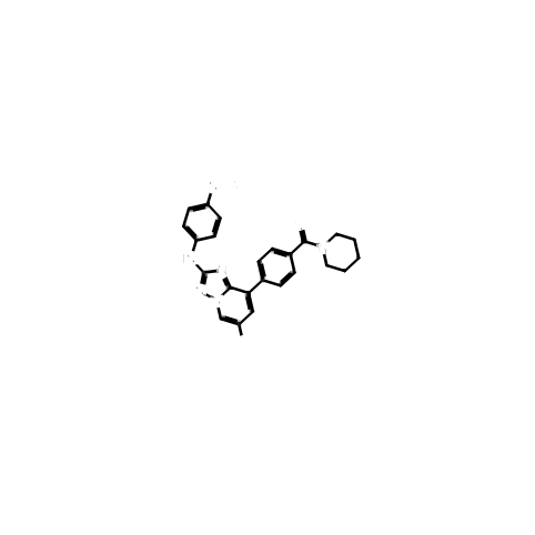 CC(=O)Nc1ccc(Nc2nc3c(-c4ccc(C(=O)N5CCCCC5)cc4)cc(C(F)(F)F)cn3n2)cc1